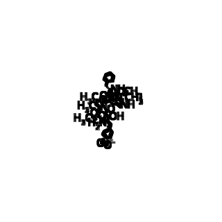 CC[C@H](C)[C@@H](C(=O)OC(C)C)N(C(=O)CC(O)[C@@H](N)Cc1ccc([N+](=O)[O-])cc1)C(=O)[C@H](Cc1c[nH]cn1)NC(=O)[C@H](Cc1ccccc1)NC(=O)OC(C)(C)C